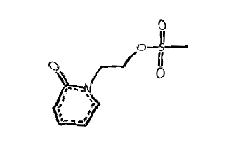 CS(=O)(=O)OCCn1ccccc1=O